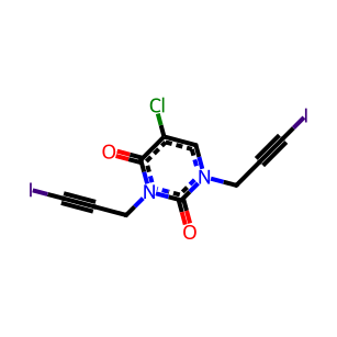 O=c1c(Cl)cn(CC#CI)c(=O)n1CC#CI